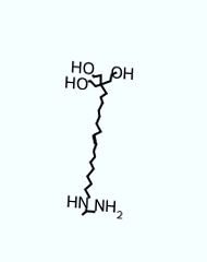 CC(CN)NCCCCCCCCC=CCCCCCCCC(CCO)(CCO)CCO